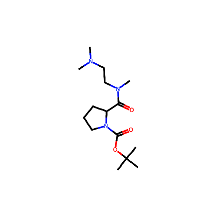 CN(C)CCN(C)C(=O)C1CCCN1C(=O)OC(C)(C)C